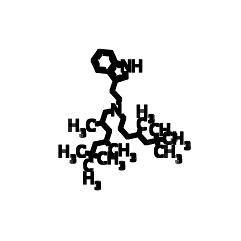 CC(CC(C)CC(C)(C)C)CN(CCCC(C)CC(C)(C)C)CCc1c[nH]c2ccccc12